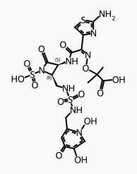 CC(C)(ON=C(C(=O)N[C@@H]1C(=O)N(S(=O)(=O)O)[C@@H]1CNS(=O)(=O)NCc1cc(=O)c(O)cn1O)c1csc(N)n1)C(=O)O